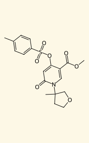 COC(=O)c1cn(C2(C)CCOC2)c(=O)cc1OS(=O)(=O)c1ccc(C)cc1